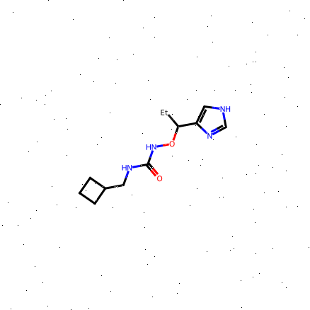 CCC(ONC(=O)NCC1CCC1)c1c[nH]cn1